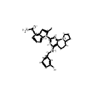 Cc1cc2c(C(N)=O)cccc2n1-c1nc(NCc2cccc(F)c2)c2c(n1)N1CCCC1CC2